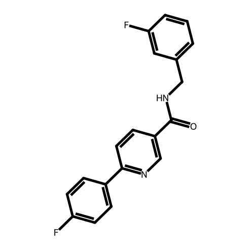 O=C(NCc1cccc(F)c1)c1ccc(-c2ccc(F)cc2)nc1